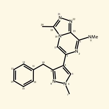 CNc1nc(-c2cn(C)nc2Cc2ccccc2)cn2c(C)nnc12